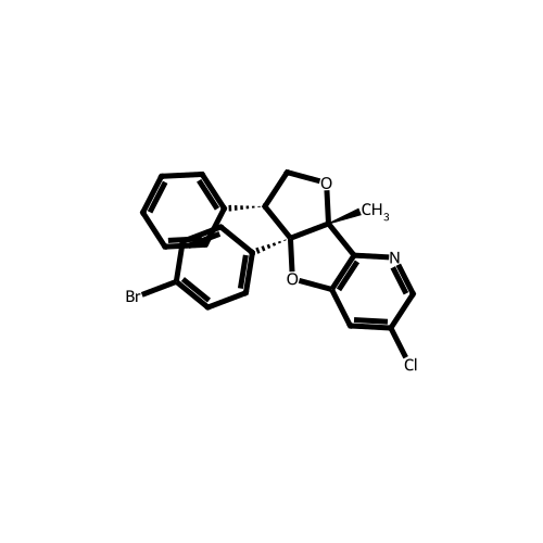 C[C@]12OC[C@@H](c3ccccc3)[C@]1(c1ccc(Br)cc1)Oc1cc(Cl)cnc12